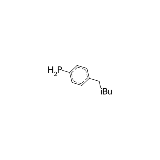 CCC(C)Cc1ccc(P)cc1